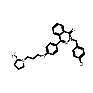 C[C@@H]1CCCN1CCCOc1ccc(-c2nn(Cc3ccc(Cl)cc3)c(=O)c3ccccc23)cc1